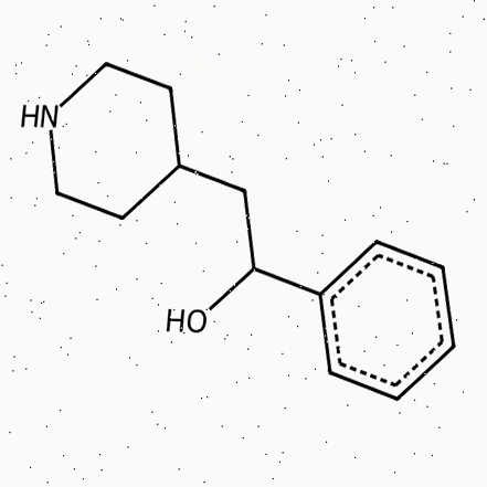 OC(CC1CCNCC1)c1ccccc1